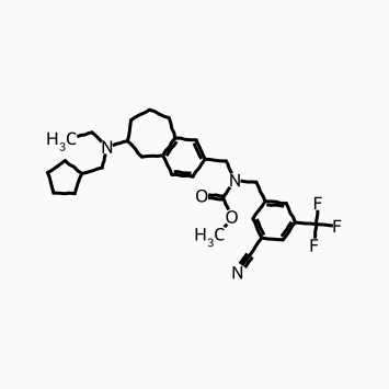 CCN(CC1CCCC1)C1CCCc2cc(CN(Cc3cc(C#N)cc(C(F)(F)F)c3)C(=O)OC)ccc2C1